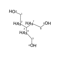 OC[AsH]C([AsH]CO)[AsH]CO